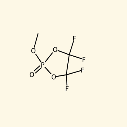 COP1(=O)OC(F)(F)C(F)(F)O1